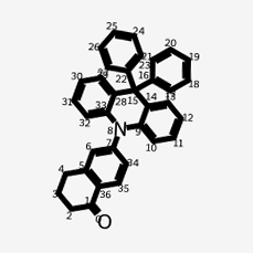 O=C1CCCc2cc(N3c4ccccc4C(c4ccccc4)(c4ccccc4)c4ccccc43)ccc21